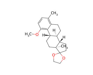 COc1ccc(C)c2c1[C@H]1CC[C@@]3(C)[C@@H](CCC34OCCO4)[C@@H]1CC2